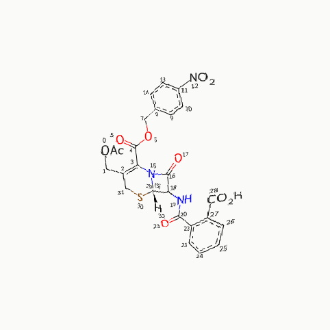 CC(=O)OCC1=C(C(=O)OCc2ccc([N+](=O)[O-])cc2)N2C(=O)C(NC(=O)c3ccccc3C(=O)O)[C@@H]2SC1